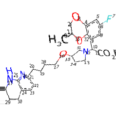 CC1COc2cc(F)cc(C(C(=O)O)N3CCC(OCCCCc4ccc5c(n4)NCCC5)C3)c2O1